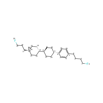 FCCCCc1ccc([C@H]2CC[C@H]([C@H]3CC[Si@H](CCCF)CC3)CC2)cc1